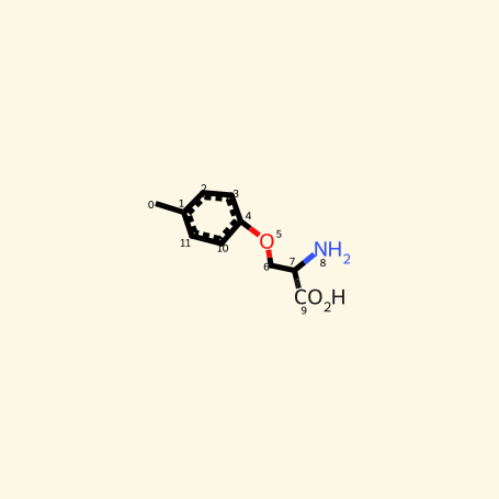 Cc1ccc(OCC(N)C(=O)O)cc1